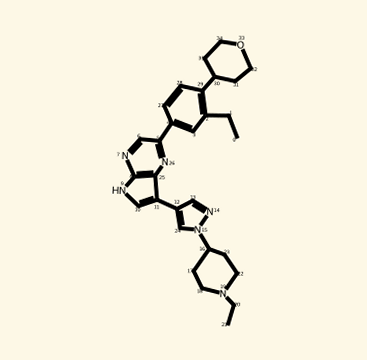 CCc1cc(-c2cnc3[nH]cc(-c4cnn(C5CCN(CC)CC5)c4)c3n2)ccc1C1CCOCC1